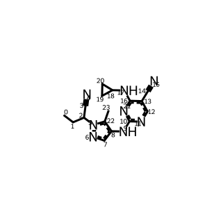 CCC(C#N)n1ncc(Nc2ncc(C#N)c(NC3CC3)n2)c1C